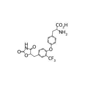 NC(Cc1ccc(Oc2ccc(CC3OC(=O)NC3=O)cc2C(F)(F)F)cc1)C(=O)O